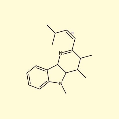 CC(C)/C=C\C1=NC2c3ccccc3N(C)C2C(C)C1C